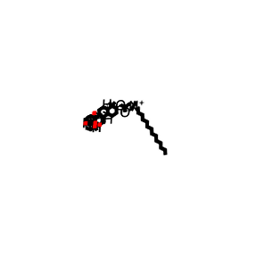 CCCCCCCCCCCCCC[N+](C)(C)CC(=O)O[C@H]1CC[C@]2(C)[C@H]3CC[C@@H]4[C@H]5[C@H]6O[C@@]5(CCC6(C)C)CC[C@@]4(C)[C@]3(C)CC[C@H]2C1(C)C